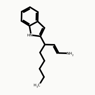 CCCCCC(C=CN)c1cc2ccccc2[nH]1